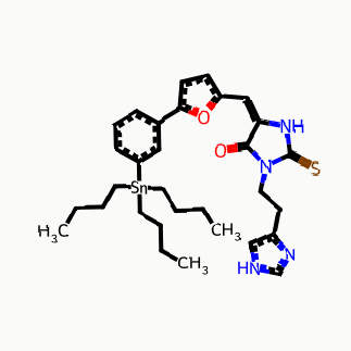 CCC[CH2][Sn]([CH2]CCC)([CH2]CCC)[c]1cccc(-c2ccc(C=C3NC(=S)N(CCc4c[nH]cn4)C3=O)o2)c1